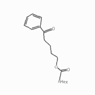 CCCCCCC(=O)OCCCCC(=O)c1ccccc1